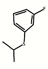 CC(C)Sc1cccc(F)c1